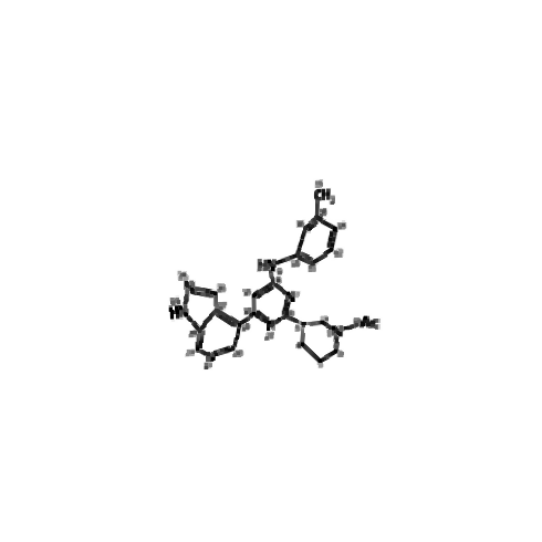 CC(=O)N1CCCC(c2nc(Nc3cccc(C)c3)cc(-c3cncc4[nH]ncc34)n2)C1